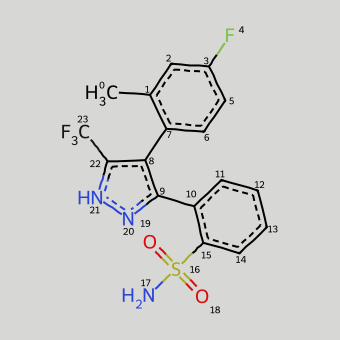 Cc1cc(F)ccc1-c1c(-c2ccccc2S(N)(=O)=O)n[nH]c1C(F)(F)F